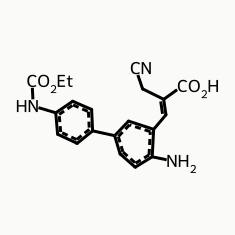 CCOC(=O)Nc1ccc(-c2ccc(N)c(C=C(CC#N)C(=O)O)c2)cc1